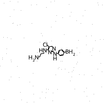 Bc1ccc(Nc2ncc(Cl)c(NCCCN)n2)cc1